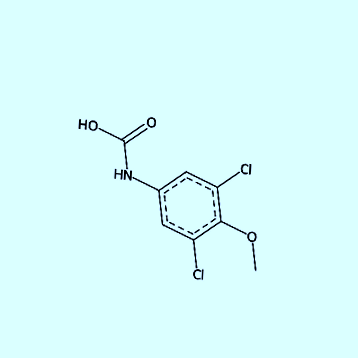 COc1c(Cl)cc(NC(=O)O)cc1Cl